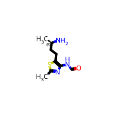 Cc1nc(NC=O)c(CC[C@@H](C)N)s1